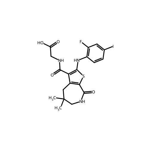 CC1(C)CNC(=O)c2sc(Nc3ccc(I)cc3F)c(C(=O)NCC(=O)O)c2C1